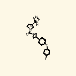 O=C(N1CC(c2ccc(Oc3ccc(F)cc3)cc2)C1)N1CC[C@@H](c2nnn[nH]2)C1